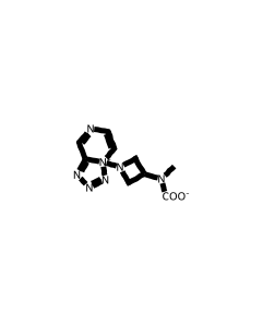 CN(C(=O)[O-])C1CN([N+]23C=CN=CC2=NN=N3)C1